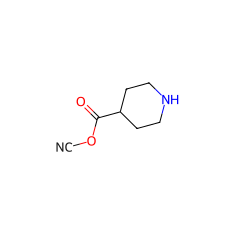 N#COC(=O)C1CCNCC1